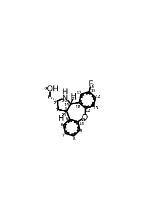 OC[C@H]1C[C@@H]2c3ccccc3Oc3ccc(F)cc3[C@H]2N1